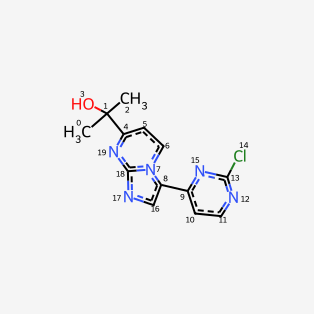 CC(C)(O)c1ccn2c(-c3ccnc(Cl)n3)cnc2n1